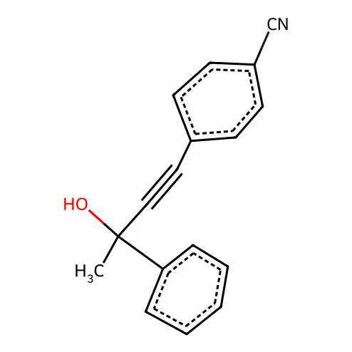 CC(O)(C#Cc1ccc(C#N)cc1)c1ccccc1